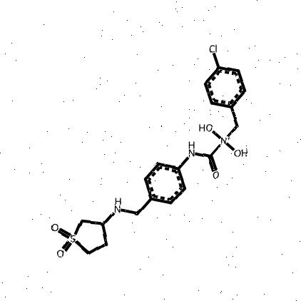 O=C(Nc1ccc(CNC2CCS(=O)(=O)C2)cc1)[N+](O)(O)Cc1ccc(Cl)cc1